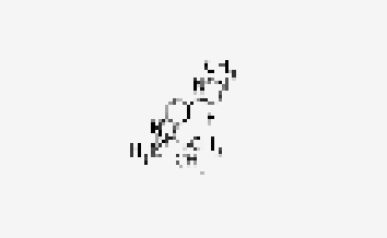 Cc1ncc(F)c(-c2ccc3nn(C)c(C(C)C)c3c2)n1